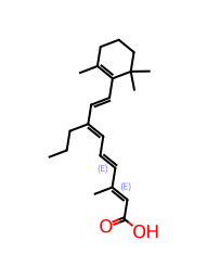 CCCC(C=CC1=C(C)CCCC1(C)C)=C/C=C/C(C)=C/C(=O)O